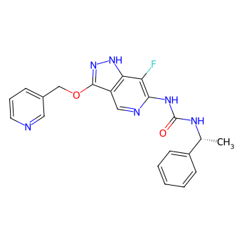 C[C@@H](NC(=O)Nc1ncc2c(OCc3cccnc3)n[nH]c2c1F)c1ccccc1